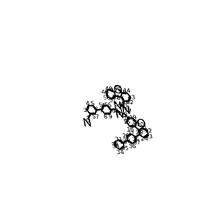 N#Cc1cccc(-c2ccc(-c3nc(-c4ccc5c(c4)oc4cccc(-c6ccc(-c7ccccc7)cc6)c45)nc(-c4cccc5oc6ccccc6c45)n3)cc2)c1